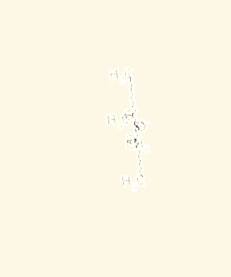 CCCCCCCCCCC(CC[S+]([O-])CCC(CCCCCCCCCC)OC)OC